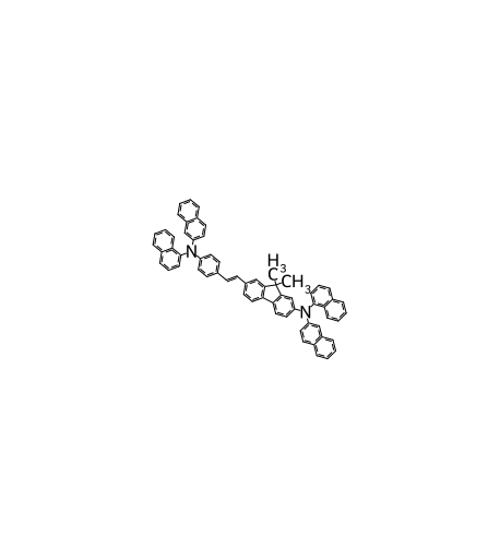 CC1(C)c2cc(/C=C/c3ccc(N(c4ccc5ccccc5c4)c4cccc5ccccc45)cc3)ccc2-c2ccc(N(c3ccc4ccccc4c3)c3cccc4ccccc34)cc21